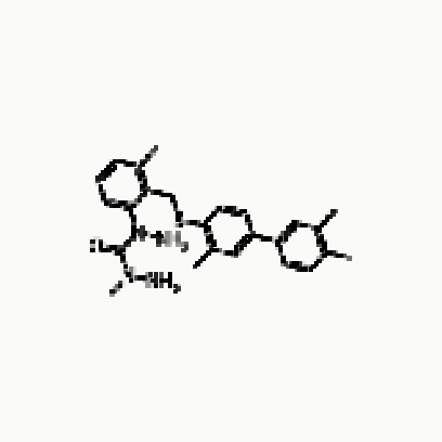 Cc1ccc(-c2ccc(SCc3c(C)cccc3N(N)C(=O)N(C)N)c(C)c2)cc1C